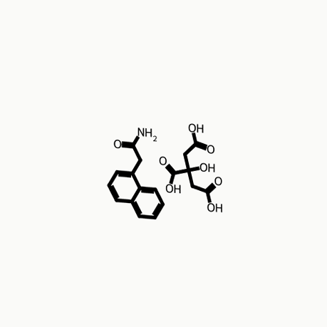 NC(=O)Cc1cccc2ccccc12.O=C(O)CC(O)(CC(=O)O)C(=O)O